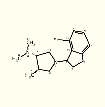 C[C@@H]1CN(C2CCc3cccc(F)c32)C[C@H]1N(C)C